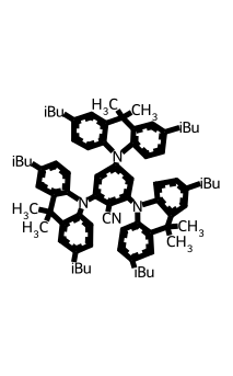 CCC(C)c1ccc2c(c1)C(C)(C)c1cc(C(C)CC)ccc1N2c1cc(N2c3ccc(C(C)CC)cc3C(C)(C)c3cc(C(C)CC)ccc32)c(C#N)c(N2c3ccc(C(C)CC)cc3C(C)(C)c3cc(C(C)CC)ccc32)c1